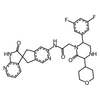 O=C(CN1C(=O)C(C2CCOCC2)NCC1c1cc(F)cc(F)c1)Nc1cc2c(cn1)CC1(C2)C(=O)Nc2ncccc21